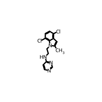 Cc1cc2c(Cl)ccc(Cl)c2n1CCNc1ccncn1